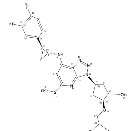 CCCSc1nc(N[C@@H]2C[C@H]2c2ccc(F)c(F)c2)c2nnn([C@H]3CC(O)[C@@H](OCC(F)F)C3)c2n1